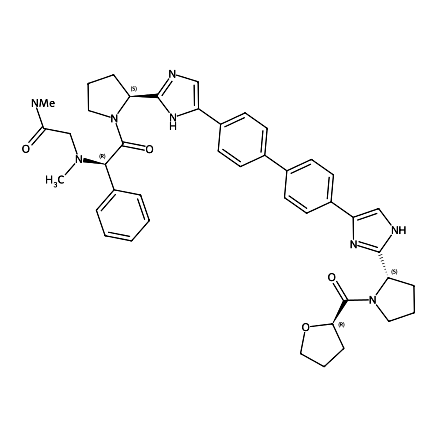 CNC(=O)CN(C)[C@@H](C(=O)N1CCC[C@H]1c1ncc(-c2ccc(-c3ccc(-c4c[nH]c([C@@H]5CCCN5C(=O)[C@H]5CCCO5)n4)cc3)cc2)[nH]1)c1ccccc1